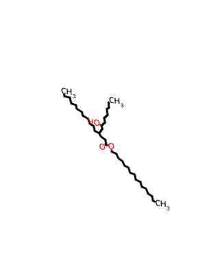 CCCCCCCCCCCCCCCCOC(=O)CCC(CCCCCCCCCCCC)CC(O)CCCCCCC